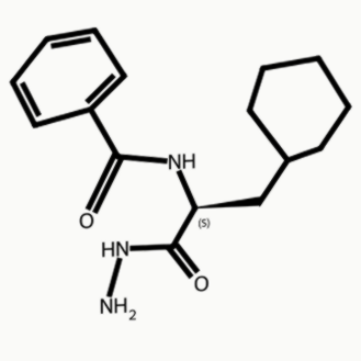 NNC(=O)[C@H](CC1CCCCC1)NC(=O)c1ccccc1